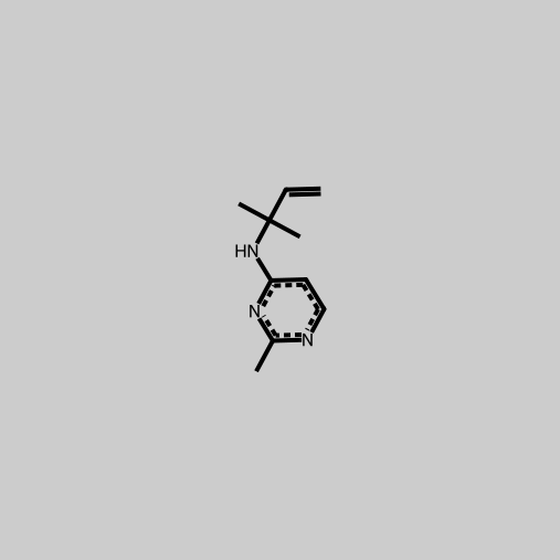 C=CC(C)(C)Nc1ccnc(C)n1